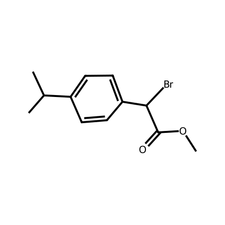 COC(=O)C(Br)c1ccc(C(C)C)cc1